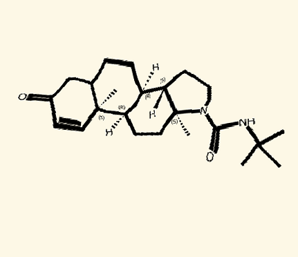 CC(C)(C)NC(=O)N1CC[C@H]2[C@@H]3CCC4CC(=O)C=C[C@]4(C)[C@@H]3CC[C@@]21C